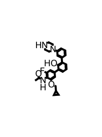 CC(=O)Nc1c(F)cc(-c2cccc(-c3cccc(N4CCNCC4)c3)c2O)cc1OCC1CC1